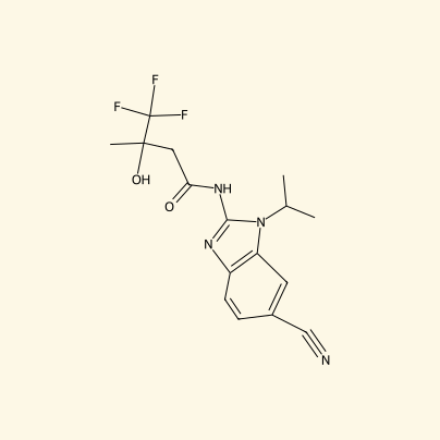 CC(C)n1c(NC(=O)CC(C)(O)C(F)(F)F)nc2ccc(C#N)cc21